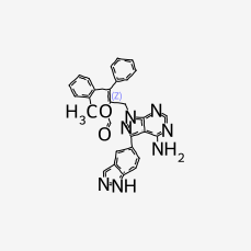 Cc1ccccc1/C(=C(/Cn1nc(-c2ccc3[nH]ncc3c2)c2c(N)ncnc21)OC=O)c1ccccc1